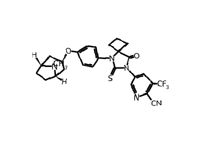 CN1[C@@H]2CC[C@H]1C[C@H](Oc1ccc(N3C(=S)N(c4cnc(C#N)c(C(F)(F)F)c4)C(=O)C34CCC4)cc1)C2